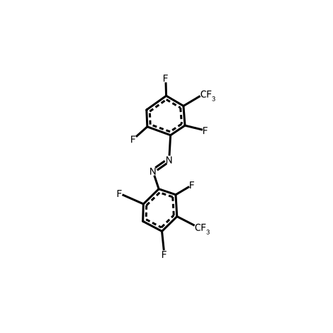 Fc1cc(F)c(C(F)(F)F)c(F)c1N=Nc1c(F)cc(F)c(C(F)(F)F)c1F